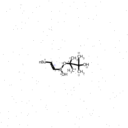 CCCC/C=C/B(O)OC(C)(C)C(C)(C)O